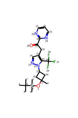 CC1(O[Si](C)(C)C(C)(C)C)CC(n2ncc(CC(=O)c3ncccn3)c2C(F)(F)F)C1